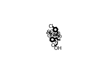 Cc1c(S(=O)(=O)Oc2ccc(Cl)cc2)c2c(NS(=O)(=O)N(C)C)cccc2n1CC(=O)O